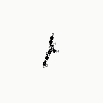 CC(c1cc[nH]n1)N1Cc2cc3c(cc2CC1C(=O)NC(Cc1ccc(-c2ccc(C#N)cc2)cc1)C(=O)O)OCC(c1ccc(OCc2ccc(Cl)c(Cl)c2)cc1)O3